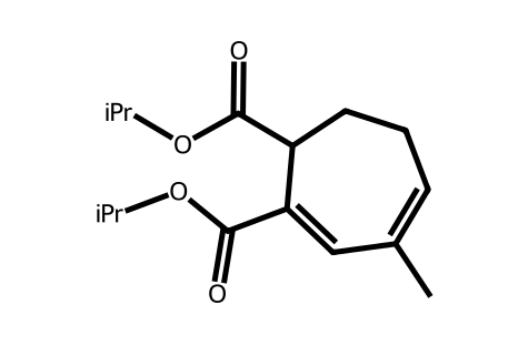 CC1=CCCC(C(=O)OC(C)C)C(C(=O)OC(C)C)=C1